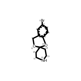 Brc1ccc2c(c1)COC1(CCNCC1)O2